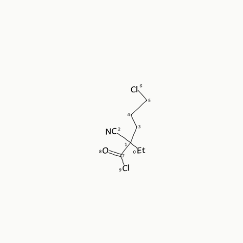 CCC(C#N)(CCCCl)C(=O)Cl